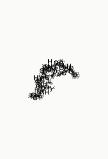 CC(C)CCOc1cc(NC(=O)[C@H]2CCC[C@@H]2NC(=O)OC(C)(C)C)cc(C(=O)N[C@H]2CCC[C@@H]2C(=O)Nc2cc(OCCC(C)C)cc(C(=O)N[C@H]3CCC[C@@H]3C(=O)Nc3cc(OCCC(C)C)cc(C(=O)N[C@H]4CCC[C@@H]4C(=O)Nc4cc(OCCC(C)C)cc(C(=O)OCc5ccccc5)c4)c3)c2)c1